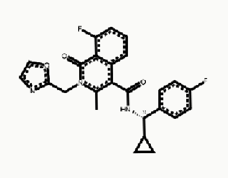 Cc1c(C(=O)N[C@H](c2ccc(F)cc2)C2CC2)c2cccc(F)c2c(=O)n1Cc1ncco1